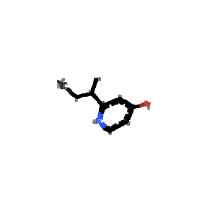 CC(CC#N)c1cc(Br)ccn1